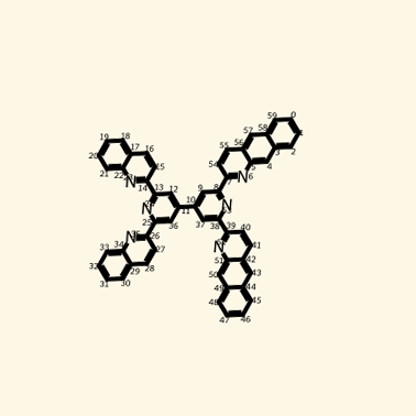 c1ccc2cc3nc(-c4cc(-c5cc(-c6ccc7ccccc7n6)nc(-c6ccc7ccccc7n6)c5)cc(-c5ccc6cc7ccccc7cc6n5)n4)ccc3cc2c1